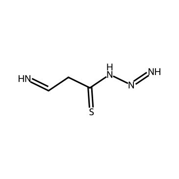 N=CCC(=S)NN=N